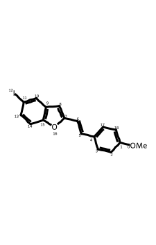 COc1ccc(C=Cc2cc3cc(I)ccc3o2)cc1